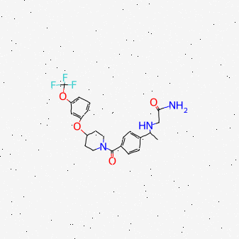 CC(NCC(N)=O)c1ccc(C(=O)N2CCC(Oc3cccc(OC(F)(F)F)c3)CC2)cc1